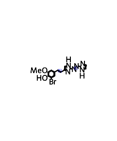 COc1cc(/C=C/c2c[nH]c(/N=N/c3ncc[nH]3)n2)cc(Br)c1O